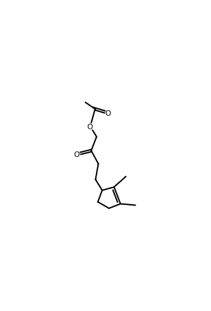 CC(=O)OCC(=O)CCC1CCC(C)=C1C